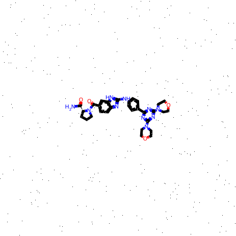 NC(=O)[C@H]1CCCN1C(=O)c1ccc2nc(Nc3ccc(-c4nc(N5CCOCC5)nc(N5CCOCC5)n4)cc3)[nH]c2c1